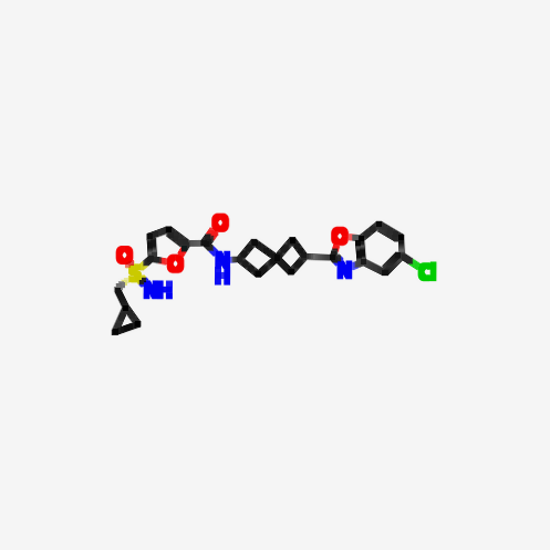 N=[S@](=O)(CC1CC1)c1ccc(C(=O)NC2CC3(C2)CC(c2nc4cc(Cl)ccc4o2)C3)o1